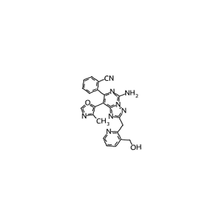 Cc1ncoc1-c1c(-c2ccccc2C#N)nc(N)n2nc(Cc3ncccc3CO)nc12